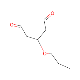 CCCOC(CC=O)CC=O